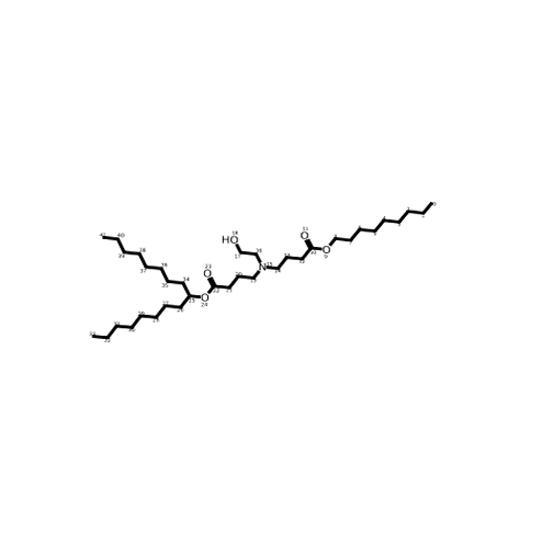 CCCCCCCCCOC(=O)CCCN(CCO)CCCC(=O)OC(CCCCCCCC)CCCCCCCC